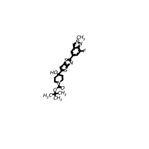 Cn1cc2cc(-c3nc4sc(C5(O)CCN(C(=O)OC(C)(C)C)CC5)cc4s3)cc(F)c2n1